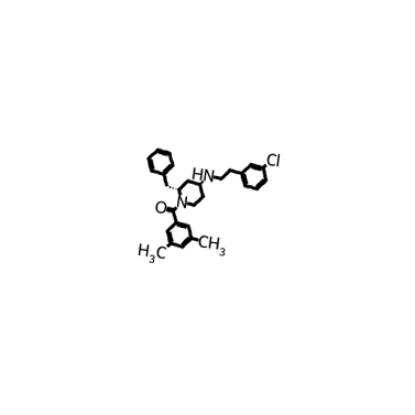 Cc1cc(C)cc(C(=O)N2CC[C@H](NCCc3cccc(Cl)c3)C[C@H]2Cc2ccccc2)c1